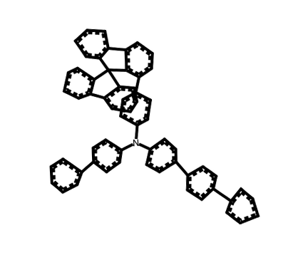 c1ccc(-c2ccc(-c3ccc(N(c4ccc(-c5ccccc5)cc4)c4ccc(-c5cccc6c5C5(c7ccccc7-c7ccccc75)c5ccccc5-6)cc4)cc3)cc2)cc1